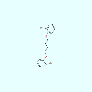 Brc1ccccc1OCCCCOc1ccccc1Br